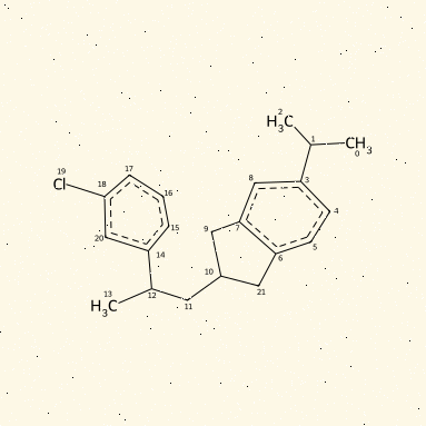 CC(C)c1ccc2c(c1)CC(CC(C)c1cccc(Cl)c1)C2